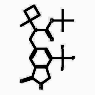 CC(C)(C)OC(=O)N(Cc1cc2c(c(C(F)(F)F)c1)CNC2=O)C1(C)CCC1